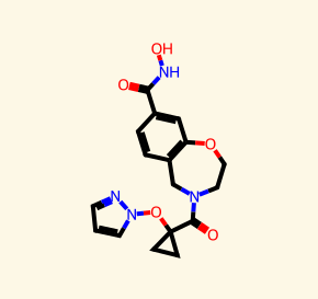 O=C(NO)c1ccc2c(c1)OCCN(C(=O)C1(On3cccn3)CC1)C2